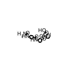 NC(=O)Nc1ccc(C(=O)Nc2cccc(S(=O)(=O)C(CC(=O)O)c3cccnc3)c2)cc1